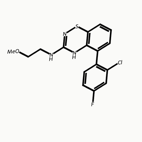 COCCNC1=NSc2cccc(-c3ccc(F)cc3Cl)c2N1